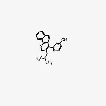 CN(C)CC1=C(c2cccc(O)c2)c2ccc3ccccc3c2SC1